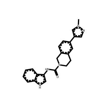 Cn1cc(-c2ccc3c(c2)CCN(C(=O)Nc2c[nH]c4ccccc24)C3)cn1